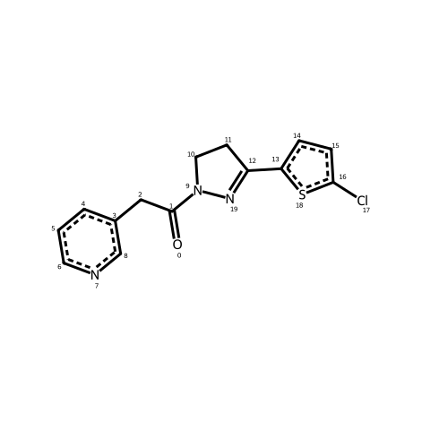 O=C(Cc1cccnc1)N1CCC(c2ccc(Cl)s2)=N1